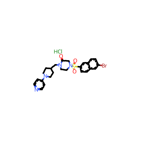 Cl.O=C1CN(S(=O)(=O)c2ccc3cc(Br)ccc3c2)CCN1CC1CCN(c2ccncc2)CC1